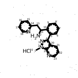 Cl.Cn1nc(-c2ccccc2C(N)Cc2ccccn2)c2cccnc21